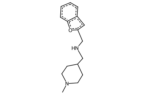 CN1CCC(CNCc2cc3ccccc3o2)CC1